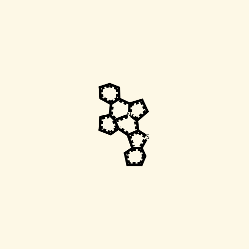 c1ccc2c(c1)sc1c2c2cccc3c4ccccc4c4ccc1n4c32